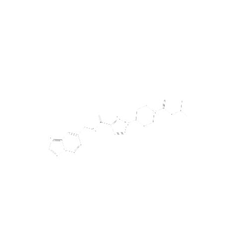 CC(C)CC(=O)N1CCC(n2ccc(C(=O)NCc3ccn4ccnc4c3)n2)CC1